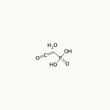 O.O=C=CP(=O)(O)O